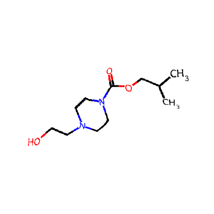 CC(C)COC(=O)N1CCN(CCO)CC1